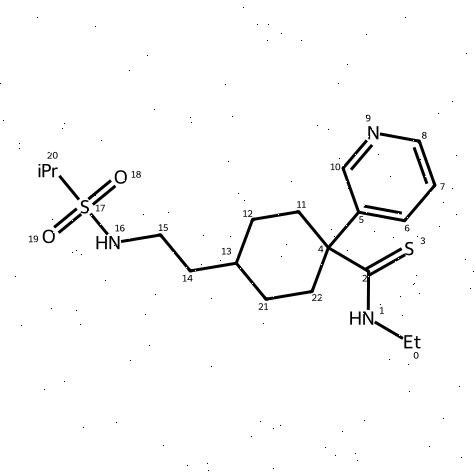 CCNC(=S)C1(c2cccnc2)CCC(CCNS(=O)(=O)C(C)C)CC1